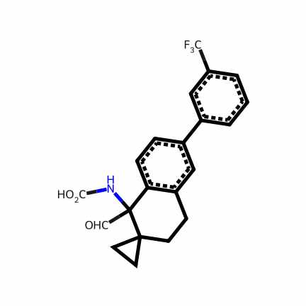 O=CC1(NC(=O)O)c2ccc(-c3cccc(C(F)(F)F)c3)cc2CCC12CC2